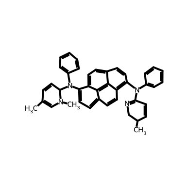 CC1=CN(C)C(N(c2ccccc2)c2ccc3ccc4c(N(C5=NCC(C)C=C5)c5ccccc5)ccc5ccc2c3c54)C=C1